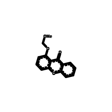 COCOc1cccc2oc3ccccc3c(=O)c12